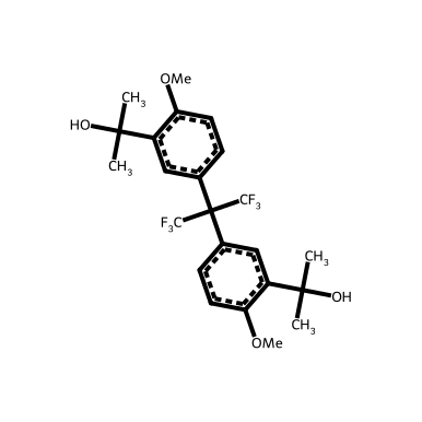 COc1ccc(C(c2ccc(OC)c(C(C)(C)O)c2)(C(F)(F)F)C(F)(F)F)cc1C(C)(C)O